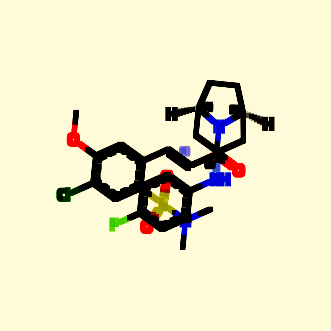 COc1cc(/C=C/C(=O)N2[C@@H]3CC[C@H]2C[C@H](Nc2ccc(F)cc2)C3)c(S(=O)(=O)N(C)C)cc1Cl